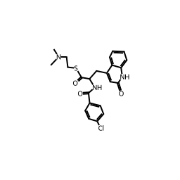 CN(C)CCSC(=O)C(Cc1cc(=O)[nH]c2ccccc12)NC(=O)c1ccc(Cl)cc1